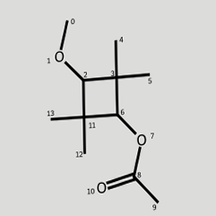 COC1C(C)(C)C(OC(C)=O)C1(C)C